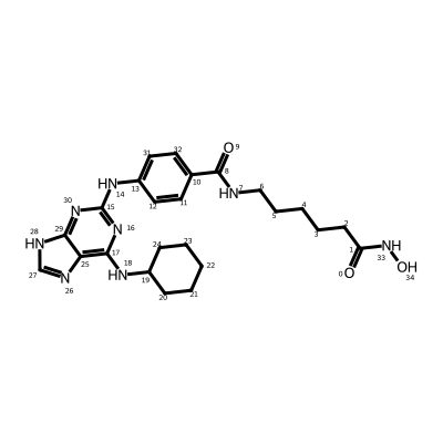 O=C(CCCCCNC(=O)c1ccc(Nc2nc(NC3CCCCC3)c3nc[nH]c3n2)cc1)NO